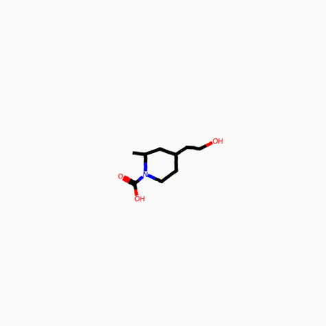 CC1CC(CCO)CCN1C(=O)O